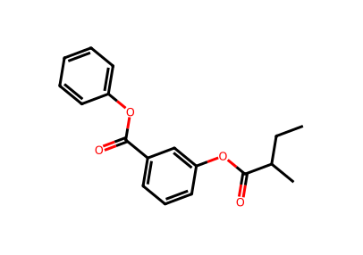 CCC(C)C(=O)Oc1cccc(C(=O)Oc2ccccc2)c1